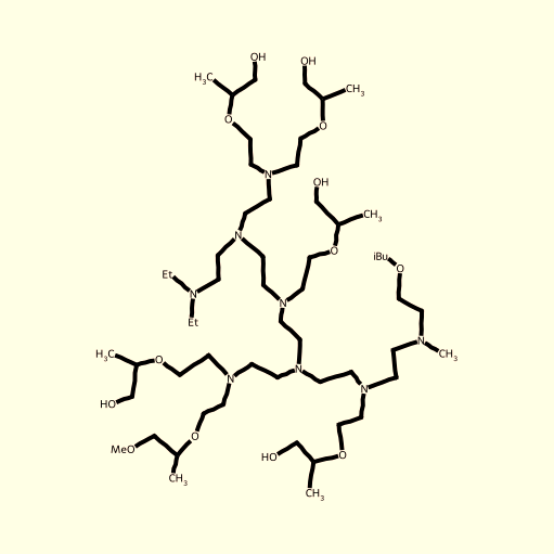 CCC(C)OCCN(C)CCN(CCOC(C)CO)CCN(CCN(CCOC(C)CO)CCOC(C)COC)CCN(CCOC(C)CO)CCN(CCN(CC)CC)CCN(CCOC(C)CO)CCOC(C)CO